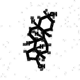 C[C@]1(O)CC[C@@]2(C)[C@@H](CC[C@@H]3[C@@H]2CC[C@]2(C)[C@@H](O)CC[C@@H]32)C1